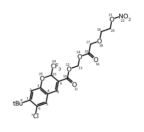 CC(C)(C)c1cc2c(cc1Cl)C=C(C(=O)OCOC(=O)COCCO[N+](=O)[O-])C(C(F)(F)F)O2